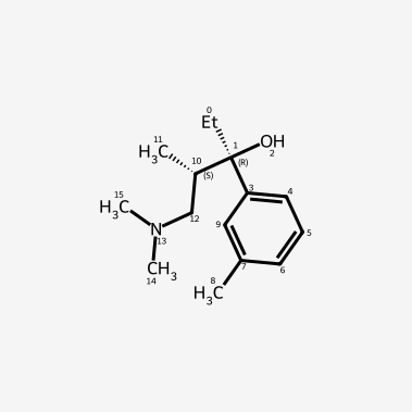 CC[C@](O)(c1cccc(C)c1)[C@@H](C)CN(C)C